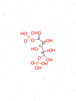 O=C(OP(=O)(O)O)[C@@H](O)[C@@H](O)[C@@H](O)C(O)OP(=O)(O)O